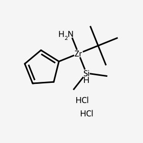 C[SiH](C)[Zr]([NH2])([C]1=CC=CC1)[C](C)(C)C.Cl.Cl